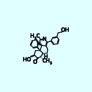 Cc1nc(-c2cccc(CCO)c2)c2c(n1)[C@@]1(c3ccccc3)CC(=CO)C(=O)[C@@H](C)[C@@H]1CC2